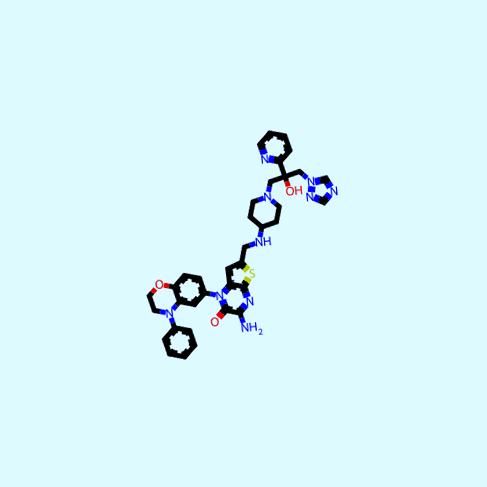 Nc1nc2sc(CNC3CCN(CC(O)(Cn4cncn4)c4ccccn4)CC3)cc2n(-c2ccc3c(c2)N(c2ccccc2)CCO3)c1=O